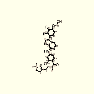 CN(CCN1CC[N+](C)(C)C1)C(=O)c1ccc(Nc2nccn3c(-c4ccc(OCC#N)c(F)c4F)cnc23)cc1Cl